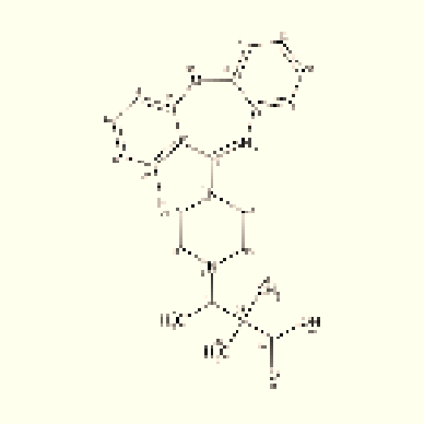 CC(N1CCN(C2=Nc3ccccc3Oc3cccc(F)c32)CC1)C(C)(C)C(=O)O